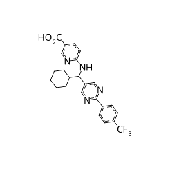 O=C(O)c1ccc(NC(c2cnc(-c3ccc(C(F)(F)F)cc3)nc2)C2CCCCC2)nc1